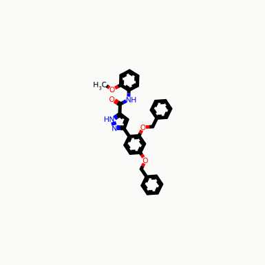 COc1ccccc1NC(=O)c1cc(-c2ccc(OCc3ccccc3)cc2OCc2ccccc2)n[nH]1